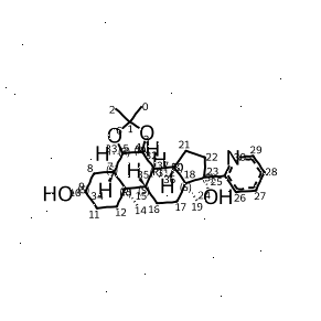 CC1(C)O[C@H]2[C@H](O1)[C@H]1C[C@@H](O)CC[C@]1(C)[C@H]1CC[C@@]3(C)[C@@H](CC[C@@]3(O)c3ccccn3)[C@H]21